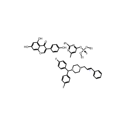 CCOP(=S)(OCC)Oc1cc(C)nc(C(C)C)n1.Fc1ccc(C(c2ccc(F)cc2)N2CCN(C/C=C/c3ccccc3)CC2)cc1.O=c1c(-c2ccc(O)cc2)coc2cc(O)cc(O)c12